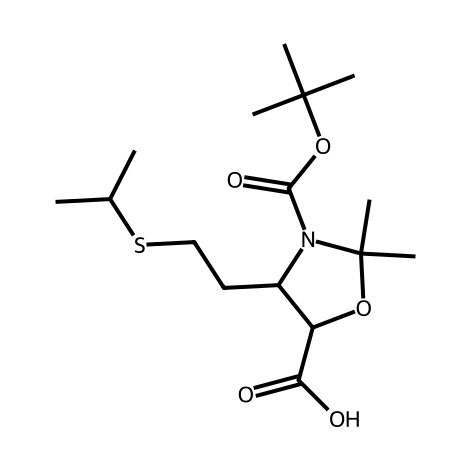 CC(C)SCCC1C(C(=O)O)OC(C)(C)N1C(=O)OC(C)(C)C